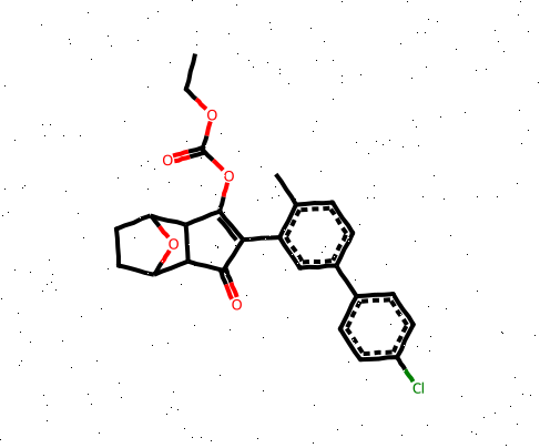 CCOC(=O)OC1=C(c2cc(-c3ccc(Cl)cc3)ccc2C)C(=O)C2C3CCC(O3)C12